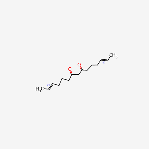 C/C=C/CCCC(=O)CC(=O)CCC/C=C/C